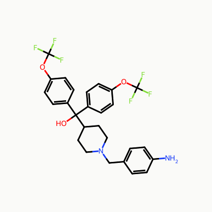 Nc1ccc(CN2CCC(C(O)(c3ccc(OC(F)(F)F)cc3)c3ccc(OC(F)(F)F)cc3)CC2)cc1